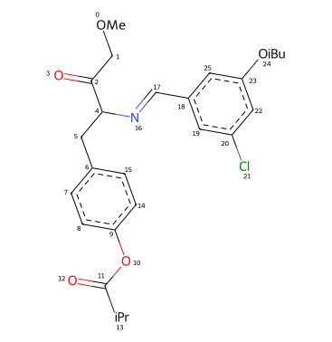 COCC(=O)C(Cc1ccc(OC(=O)C(C)C)cc1)N=Cc1cc(Cl)cc(OCC(C)C)c1